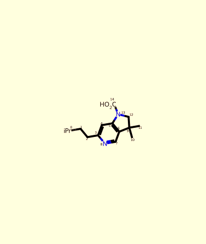 CC(C)CCc1cc2c(cn1)C(C)(C)CN2C(=O)O